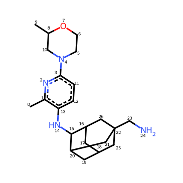 Cc1nc(N2CCOC(C)C2)ccc1NC1C2CC3CC1CC(CN)(C3)C2